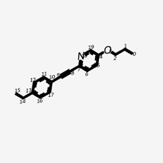 CCCOc1ccc(C#Cc2ccc(CC)cc2)nc1